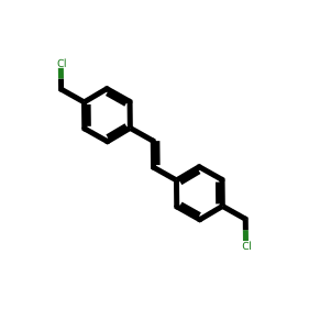 ClCc1ccc(C=Cc2ccc(CCl)cc2)cc1